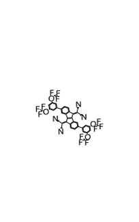 N#CC(C#N)=C1C2=C(C(=C(C#N)C#N)c3ccc(-c4cc(OC(F)(F)F)cc(OC(F)(F)F)c4)cc32)c2cc(-c3cc(OC(F)(F)F)cc(OC(F)(F)F)c3)ccc21